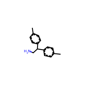 Cc1ccc(C(CN)c2ccc(C)cc2)cc1